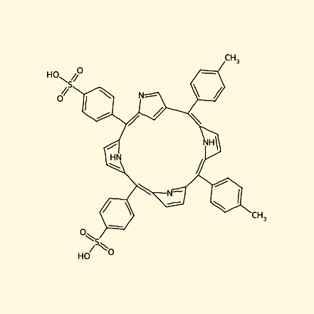 Cc1ccc(-c2c3cc(c(-c4ccc(S(=O)(=O)O)cc4)c4ccc([nH]4)c(-c4ccc(S(=O)(=O)O)cc4)c4nc(c(-c5ccc(C)cc5)c5ccc2[nH]5)C=C4)N=C3)cc1